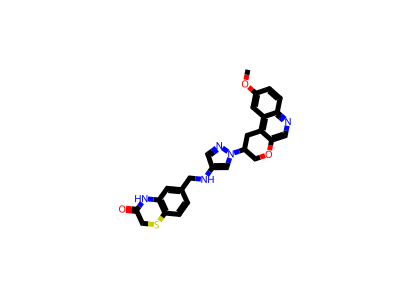 COc1ccc2ncc3c(c2c1)CC(n1cc(NCc2ccc4c(c2)NC(=O)CS4)cn1)CO3